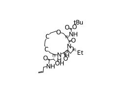 C=CCNC(=O)C(O)[C@@H]1CCCCCCCOC[C@H](NC(=O)OC(C)(C)C)C(=O)N2C[C@H](CC)C[C@H]2C(=O)N1